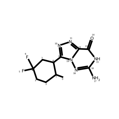 CC1CCC(F)(F)CC1c1nnc2c(=O)[nH]c(N)nn12